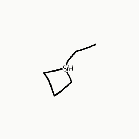 CC[SiH]1CCC1